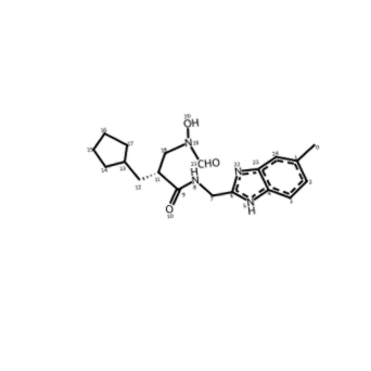 Cc1ccc2[nH]c(CNC(=O)[C@H](CC3CCCC3)CN(O)C=O)nc2c1